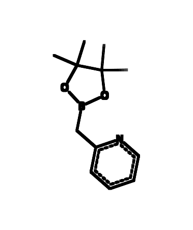 CC1(C)OB(Cc2ccccn2)OC1(C)C